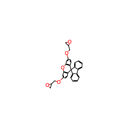 c1ccc2c(c1)-c1ccccc1C21c2ccc(OCC3CO3)cc2Oc2cc(OCC3CO3)ccc21